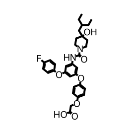 CCC(CC)CC1(O)CCN(C(=O)Nc2cc(Oc3ccc(F)cc3)cc(Oc3ccc(OCC(=O)O)cc3)c2)CC1